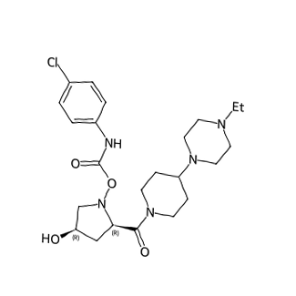 CCN1CCN(C2CCN(C(=O)[C@H]3C[C@@H](O)CN3OC(=O)Nc3ccc(Cl)cc3)CC2)CC1